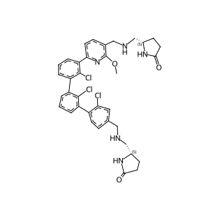 COc1nc(-c2cccc(-c3cccc(-c4ccc(CNC[C@@H]5CCC(=O)N5)cc4Cl)c3Cl)c2Cl)ccc1CNC[C@@H]1CCC(=O)N1